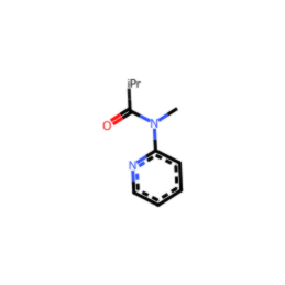 CC(C)C(=O)N(C)c1ccccn1